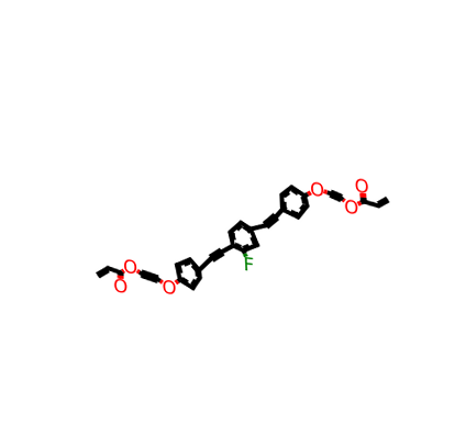 C=CC(=O)OC#COc1ccc(C#Cc2ccc(C#Cc3ccc(OC#COC(=O)C=C)cc3)c(F)c2)cc1